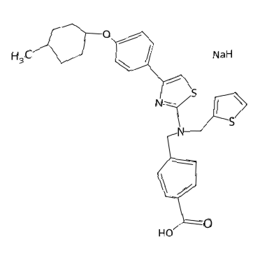 CC1CCC(Oc2ccc(-c3csc(N(Cc4ccc(C(=O)O)cc4)Cc4cccs4)n3)cc2)CC1.[NaH]